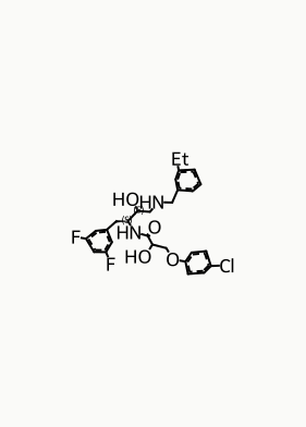 CCc1cccc(CNC[C@H](O)[C@H](Cc2cc(F)cc(F)c2)NC(=O)C(O)COc2ccc(Cl)cc2)c1